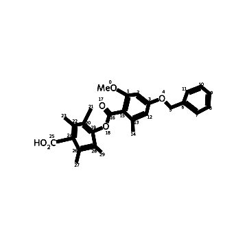 COc1cc(OCc2ccccc2)cc(C)c1C(=O)Oc1c(C)c(C)c(C(=O)O)c(C)c1C